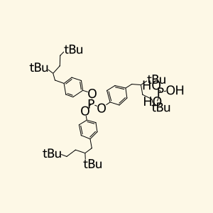 CC(C)(C)CCC(Cc1ccc(OP(Oc2ccc(CC(CCC(C)(C)C)C(C)(C)C)cc2)Oc2ccc(CC(CCC(C)(C)C)C(C)(C)C)cc2)cc1)C(C)(C)C.OP(O)O